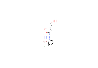 O=C(O)CCC/C(=N/Nc1cccc(Cl)c1Br)C(=O)O